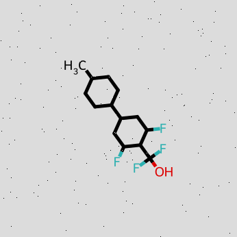 CC1CCC(C2CC(F)C(C(O)(F)F)C(F)C2)CC1